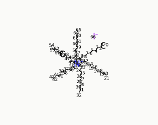 CCCCCCCCCCc1c(CCCCCCCCCC)c(CCCCCCCCCC)[n+](CCCCCCCCCC)c(CCCCCCCCCC)c1CCCCCCCCCC.[I-]